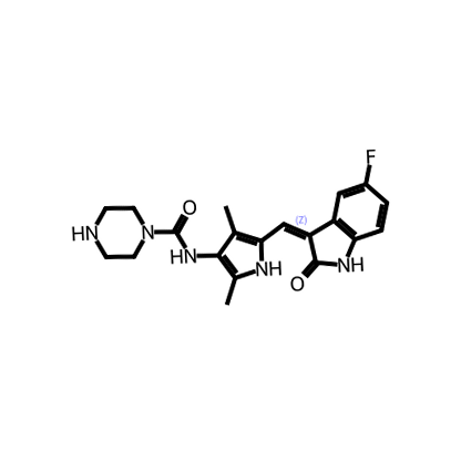 Cc1[nH]c(/C=C2\C(=O)Nc3ccc(F)cc32)c(C)c1NC(=O)N1CCNCC1